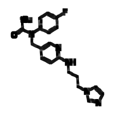 CC(C)(C)C(=O)N(Cc1ccc(NCCCn2ccnc2)nc1)c1ccc(F)cc1